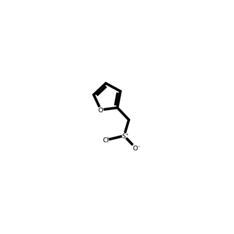 [O-][S+](Cl)Cc1ccco1